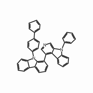 c1ccc(-c2ccc(-n3c4ccccc4c4cccc(-c5cncc6c5c5ccccc5n6-c5ccccc5)c43)cc2)cc1